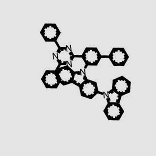 c1ccc(-c2ccc(-c3nc(-c4ccccc4)nc(-c4ccccc4)n3)c(-n3c4ccccc4c4ccc(-n5c6ccccc6c6ccccc65)cc43)c2)cc1